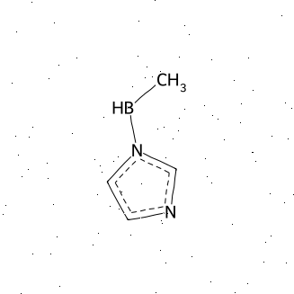 CBn1ccnc1